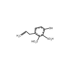 C=CCc1ccc(O)c(S(=O)(=O)O)c1S(=O)(=O)O